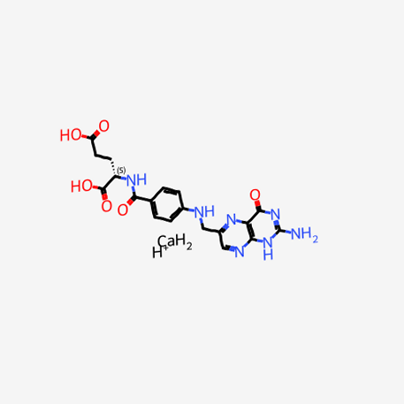 Nc1nc(=O)c2nc(CNc3ccc(C(=O)N[C@@H](CCC(=O)O)C(=O)O)cc3)cnc2[nH]1.[CaH2].[H+]